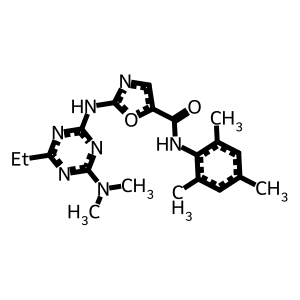 CCc1nc(Nc2ncc(C(=O)Nc3c(C)cc(C)cc3C)o2)nc(N(C)C)n1